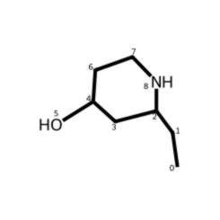 CCC1CC(O)CCN1